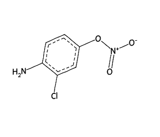 Nc1ccc(O[N+](=O)[O-])cc1Cl